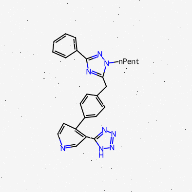 CCCCCn1nc(-c2ccccc2)nc1Cc1ccc(-c2ccncc2-c2nnn[nH]2)cc1